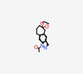 CC(=O)n1ncc2cc3c(cc21)CCCC1(C3)OCCO1